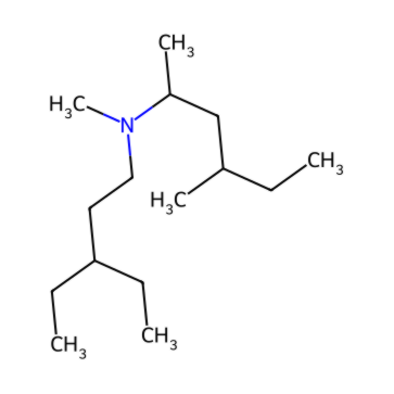 CCC(C)CC(C)N(C)CCC(CC)CC